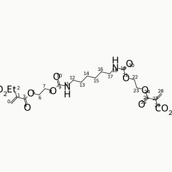 C=C(C(=O)OCC)C(=O)OCCOC(=O)NCCCCCCNC(=O)OCCOC(=O)C(=C)C(=O)OCC